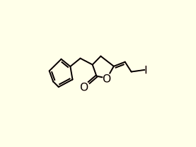 O=C1OC(=CCI)CC1Cc1ccccc1